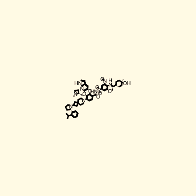 CC(C)c1ccccc1[C@@H]1CCCN1C1CC2(CCN(c3ccc(C(=O)NS(=O)(=O)c4cc(N=O)c5c(c4)OC[C@H]([C@H]4CC[C@](C)(O)CC4)N5)c(Oc4cc5cc[nH]c5nc4OC[C@H]4CCN4C)c3)CC2)C1